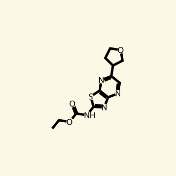 CCOC(=O)Nc1nc2ncc(C3CCOC3)nc2s1